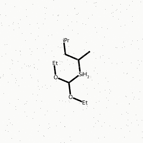 CCOC(OCC)[SiH2]C(C)[CH]C(C)C